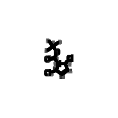 CC(C)(C)OC(=O)N1C(Cl)C=CC1Cl